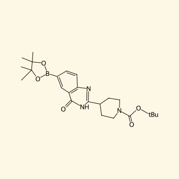 CC(C)(C)OC(=O)N1CCC(c2nc3ccc(B4OC(C)(C)C(C)(C)O4)cc3c(=O)[nH]2)CC1